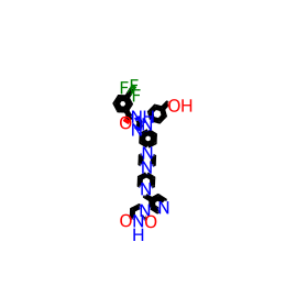 O=C1CCN(c2cnccc2CN2CCC(N3CCN(c4ccc5c(c4)nc(NC(=O)c4cccc(C(F)(F)F)c4)n5C4CCC(CO)CC4)CC3)CC2)C(=O)N1